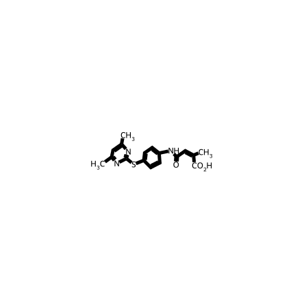 C/C(=C/C(=O)Nc1ccc(Sc2nc(C)cc(C)n2)cc1)C(=O)O